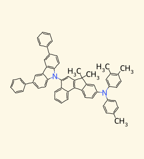 Cc1ccc(N(c2ccc(C)c(C)c2)c2ccc3c(c2)C(C)(C)c2cc(-n4c5ccc(-c6ccccc6)cc5c5cc(-c6ccccc6)ccc54)c4ccccc4c2-3)cc1